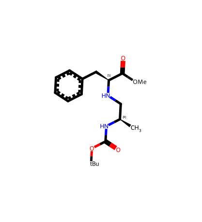 COC(=O)[C@H](Cc1ccccc1)NC[C@@H](C)NC(=O)OC(C)(C)C